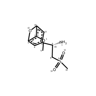 COc1c2cc([C@H](N)CS(C)(=O)=O)cc1O2